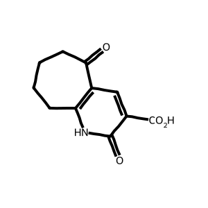 O=C1CCCCc2[nH]c(=O)c(C(=O)O)cc21